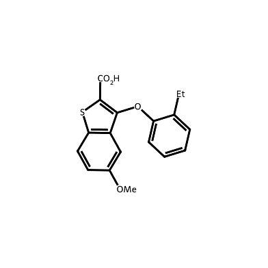 CCc1ccccc1Oc1c(C(=O)O)sc2ccc(OC)cc12